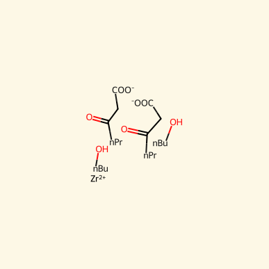 CCCC(=O)CC(=O)[O-].CCCC(=O)CC(=O)[O-].CCCCO.CCCCO.[Zr+2]